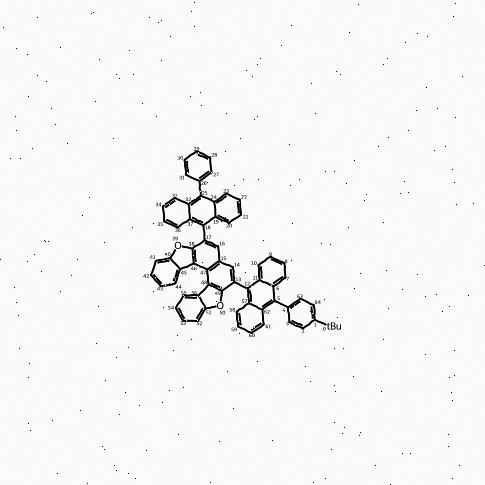 CC(C)(C)c1ccc(-c2c3ccccc3c(-c3cc4cc(-c5c6ccccc6c(-c6ccccc6)c6ccccc56)c5oc6ccccc6c5c4c4c3oc3ccccc34)c3ccccc23)cc1